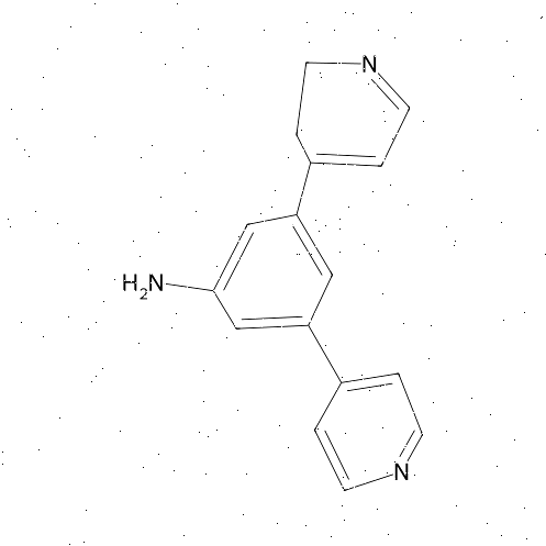 Nc1cc(C2=CC=NCC2)cc(-c2ccncc2)c1